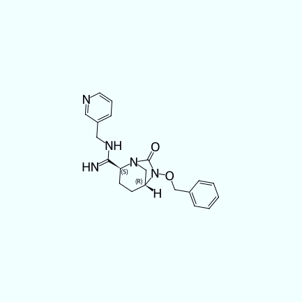 N=C(NCc1cccnc1)[C@@H]1CC[C@@H]2CN1C(=O)N2OCc1ccccc1